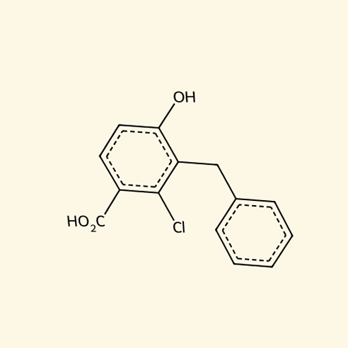 O=C(O)c1ccc(O)c(Cc2ccccc2)c1Cl